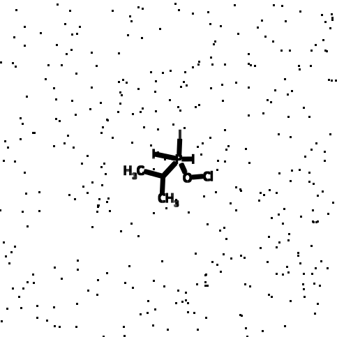 CC(C)P(I)(I)(I)OCl